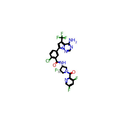 Nc1ncnn2c(-c3ccc(Cl)c(C(=O)N[C@@H]4CN(C(=O)c5ncc(F)cc5F)C[C@@H]4F)c3)cc(C(F)(F)F)c12